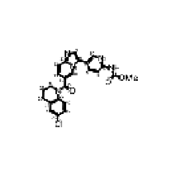 COC(=O)Nc1ccc(-c2cnc3ccc(C(=O)N4CCCc5cc(Cl)ccc54)cn23)cn1